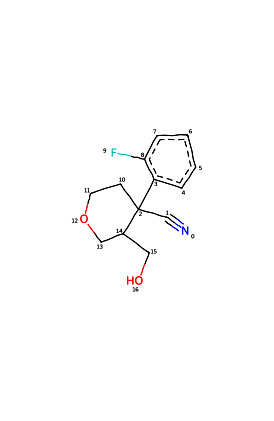 N#CC1(c2ccccc2F)CCOCC1CO